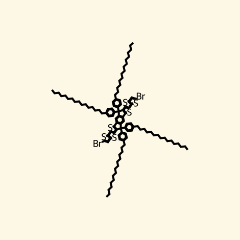 CCCCCCCCCCCCCCCCc1ccc(C2(c3ccc(CCCCCCCCCCCCCCCC)cc3)c3cc4c(cc3-c3sc5c(sc6cc(Br)sc65)c32)C(c2ccc(CCCCCCCCCCCCCCCC)cc2)(c2ccc(CCCCCCCCCCCCCCCC)cc2)c2c-4sc3c2sc2cc(Br)sc23)cc1